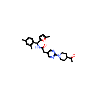 CC(=O)C1CCN(c2ncc(CC(=O)NC(c3ccc(C)o3)c3ccc(C)cc3C)cn2)CC1